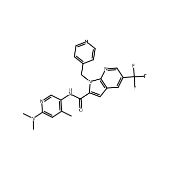 Cc1cc(N(C)C)ncc1NC(=O)c1cc2cc(C(F)(F)F)cnc2n1Cc1ccncc1